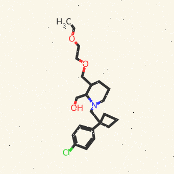 CCOCCOCC1CCCN(CC2(c3ccc(Cl)cc3)CCC2)C1CO